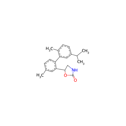 Cc1ccc(-c2cc(C(C)C)ccc2C)c(C2CNC(=O)O2)c1